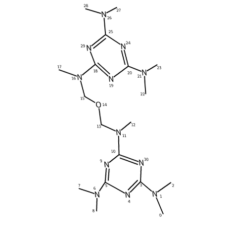 CN(C)c1nc(N(C)C)nc(N(C)COCN(C)c2nc(N(C)C)nc(N(C)C)n2)n1